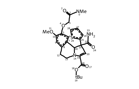 CNC(=O)COc1cc2c(cc1OC)CCN1C(C(=O)OC(C)(C)C)=CC(C(N)=O)(c3cccs3)C21